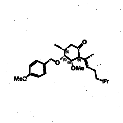 COc1ccc(CO[C@H]2[C@@H](OC)[C@H](C(C)=CCCC(C)C)C(=O)C[C@@H]2C)cc1